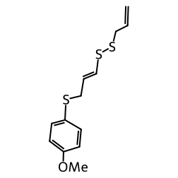 C=CCSS/C=C/CSc1ccc(OC)cc1